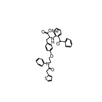 COC(=O)C(Cc1ccc(OCCN(C(=O)Cc2cccs2)c2ccccc2)cc1)Nc1ccccc1C(=O)c1ccccc1